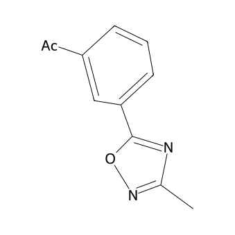 CC(=O)c1cccc(-c2nc(C)no2)c1